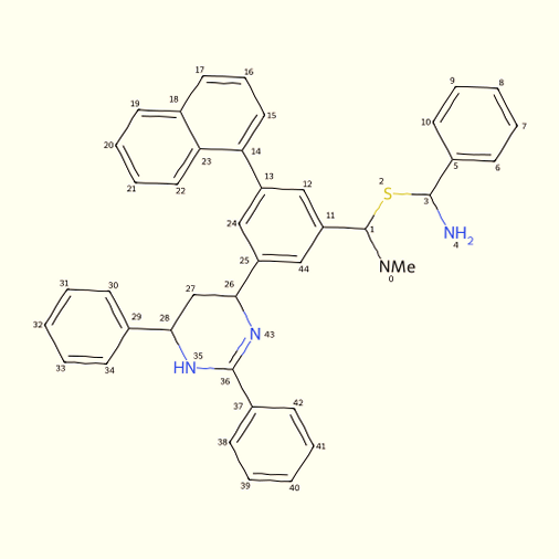 CNC(SC(N)c1ccccc1)c1cc(-c2cccc3ccccc23)cc(C2CC(c3ccccc3)NC(c3ccccc3)=N2)c1